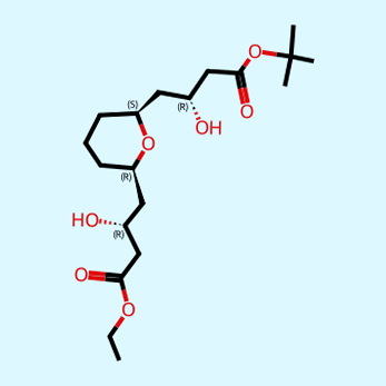 CCOC(=O)C[C@H](O)C[C@H]1CCC[C@@H](C[C@@H](O)CC(=O)OC(C)(C)C)O1